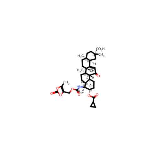 Cc1oc(=O)oc1COC(=O)N[C@]1(C)[C@@H](OC(=O)C2CC2)CC[C@@]2(C)[C@H]1CC[C@]1(C)[C@@H]2C(=O)C=C2[C@@H]3C[C@@](C)(C(=O)O)CC[C@]3(C)CC[C@]21C